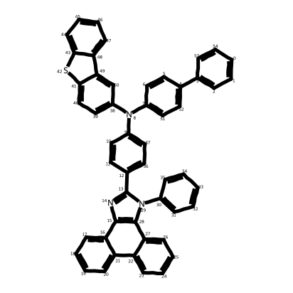 c1ccc(-c2ccc(N(c3ccc(-c4nc5c6ccccc6c6ccccc6c5n4-c4ccccc4)cc3)c3ccc4sc5ccccc5c4c3)cc2)cc1